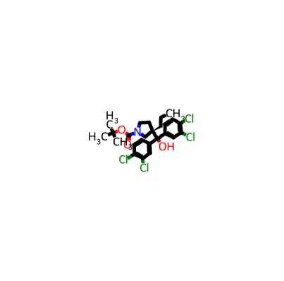 CCC[C@]1(C(O)(c2ccc(Cl)c(Cl)c2)c2ccc(Cl)c(Cl)c2)CCN(C(=O)OC(C)(C)C)C1